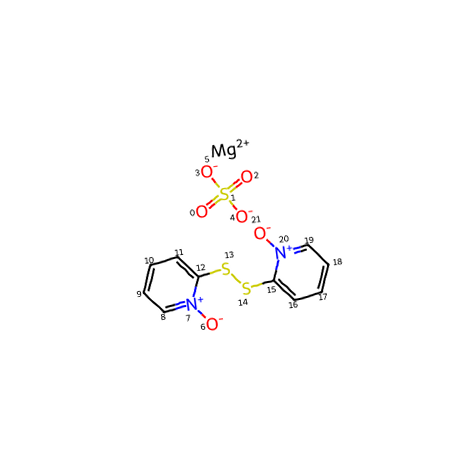 O=S(=O)([O-])[O-].[Mg+2].[O-][n+]1ccccc1SSc1cccc[n+]1[O-]